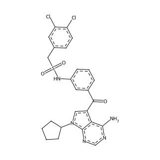 Nc1ncnc2c1c(C(=O)c1cccc(NS(=O)(=O)Cc3ccc(Cl)c(Cl)c3)c1)cn2C1CCCC1